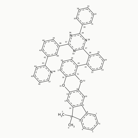 CC1(C)c2ccccc2-c2cc3c(cc21)Oc1cccc(-c2ccccc2-c2nc(-c4ccccc4)nc(-c4cccc(-c5ccccn5)c4)n2)c1O3